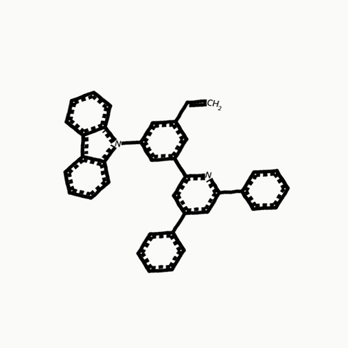 C=Cc1cc(-c2cc(-c3ccccc3)cc(-c3ccccc3)n2)cc(-n2c3ccccc3c3ccccc32)c1